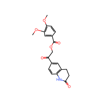 COc1ccc(C(=O)OCC(=O)c2ccc3c(c2)CCC(=O)N3)cc1OC